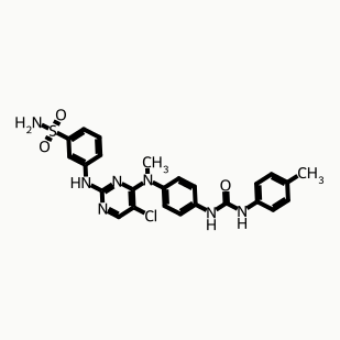 Cc1ccc(NC(=O)Nc2ccc(N(C)c3nc(Nc4cccc(S(N)(=O)=O)c4)ncc3Cl)cc2)cc1